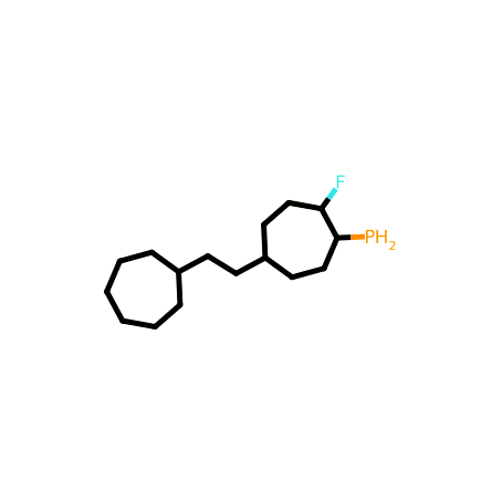 FC1CCC(CCC2CCCCCC2)CCC1P